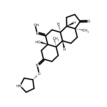 C[C@]12CC[C@H]3[C@@H](C/C(=N\O)[C@@]4(O)C/C(=N/O[C@@H]5CCNC5)CC[C@]34C)[C@@H]1CCC2=O